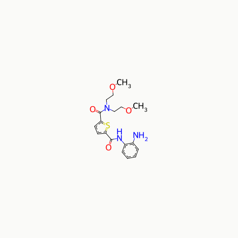 COCCN(CCOC)C(=O)c1ccc(C(=O)Nc2ccccc2N)s1